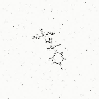 COP(=O)(CNS(=O)(=O)c1ccc(C)cc1)OC